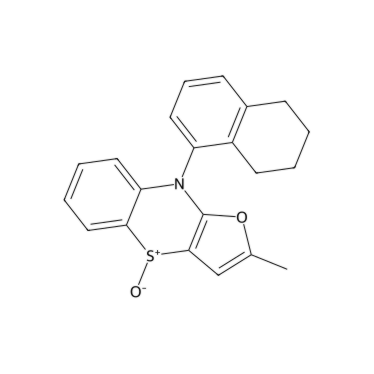 Cc1cc2c(o1)N(c1cccc3c1CCCC3)c1ccccc1[S+]2[O-]